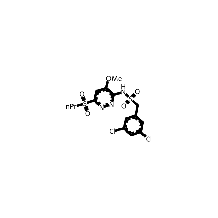 CCCS(=O)(=O)c1cc(OC)c(NS(=O)(=O)Cc2cc(Cl)cc(Cl)c2)nn1